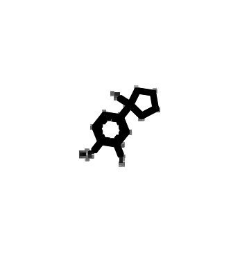 Cc1ccc(C2(F)CCCC2)cc1F